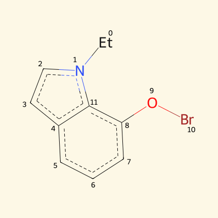 CCn1ccc2cccc(OBr)c21